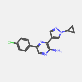 Nc1ncc(-c2ccc(Cl)cc2)nc1-c1cnn(C2CC2)c1